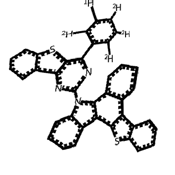 [2H]c1c([2H])c([2H])c(-c2nc(-n3c4ccccc4c4c5sc6ccccc6c5c5ccccc5c43)nc3c2sc2ccccc23)c([2H])c1[2H]